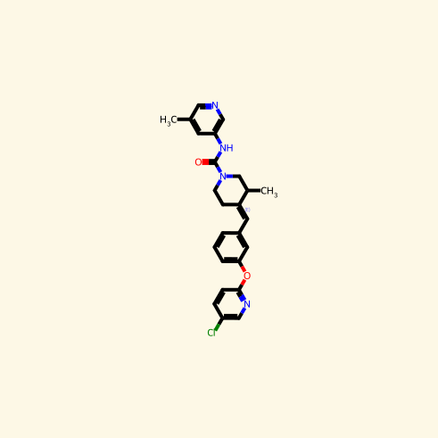 Cc1cncc(NC(=O)N2CC/C(=C\c3cccc(Oc4ccc(Cl)cn4)c3)C(C)C2)c1